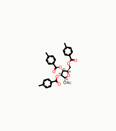 CC(=O)O[C@H]1O[C@H](COC(=O)c2ccc(C)cc2)[C@@H](OC(=O)c2ccc(C)cc2)[C@H]1OC(=O)c1ccc(C)cc1